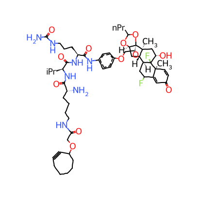 CCCC1O[C@@H]2C[C@H]3[C@@H]4C[C@H](F)C5=CC(=O)C=C[C@]5(C)[C@@]4(F)[C@@H](O)C[C@]3(C)[C@]2(C(=O)COc2ccc(NC(=O)[C@H](CCCNC(N)=O)NC(=O)[C@@H](NC(=O)[C@H](N)CCCCNC(=O)COC3C#CCCCCC3)C(C)C)cc2)O1